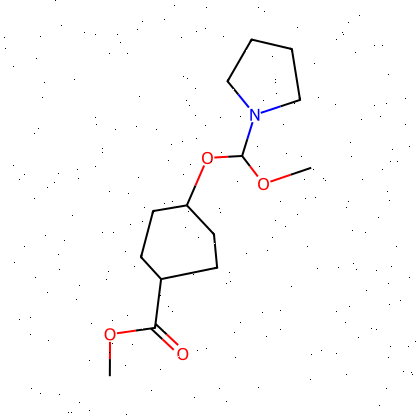 COC(=O)C1CCC(OC(OC)N2CCCC2)CC1